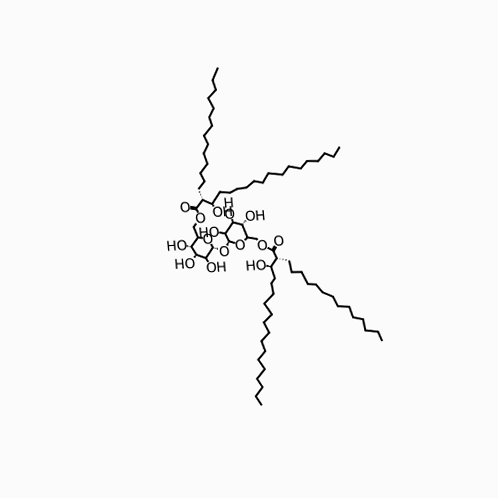 CCCCCCCCCCCCCCC[C@@H](O)[C@@H](CCCCCCCCCCCCCC)C(=O)OCC1O[C@H](O[C@@H]2OC(COC(=O)[C@H](CCCCCCCCCCCCCC)[C@H](O)CCCCCCCCCCCCCCC)[C@@H](O)[C@H](O)C2O)C(O)[C@@H](O)[C@@H]1O